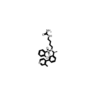 Cc1cnccc1-c1cccc([C@H](C)N(CCCCNC(N)=O)S(=O)(=O)c2ccccc2C(F)(F)F)c1